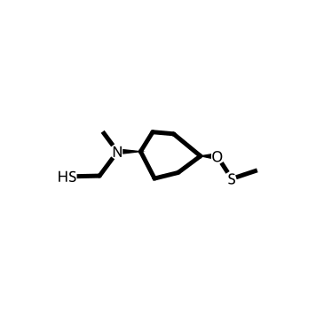 CSO[C@H]1CC[C@@H](N(C)CS)CC1